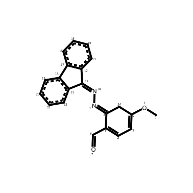 COC1=CC=C(C=O)C(=NN=C2c3ccccc3-c3ccccc32)C1